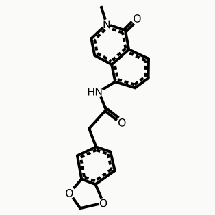 Cn1ccc2c(NC(=O)Cc3ccc4c(c3)OCO4)cccc2c1=O